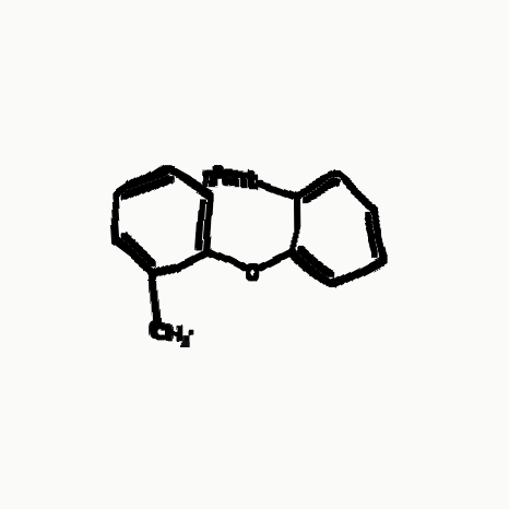 [CH2]c1ccccc1Oc1ccccc1CCCCC